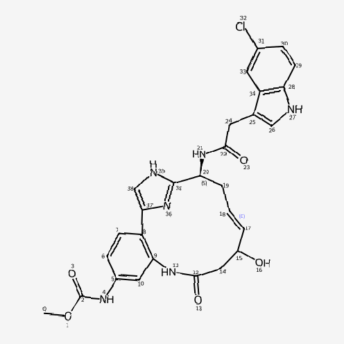 COC(=O)Nc1ccc2c(c1)NC(=O)CC(O)/C=C/C[C@H](NC(=O)Cc1c[nH]c3ccc(Cl)cc13)c1nc-2c[nH]1